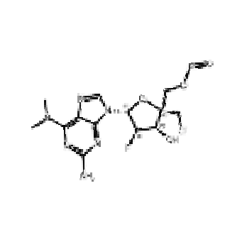 CN(C)c1nc(N)nc2c1ncn2[C@@H]1O[C@](CCl)(COP=O)[C@@H](O)[C@H]1F